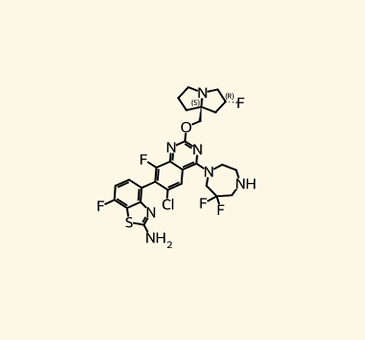 Nc1nc2c(-c3c(Cl)cc4c(N5CCNCC(F)(F)C5)nc(OC[C@@]56CCCN5C[C@H](F)C6)nc4c3F)ccc(F)c2s1